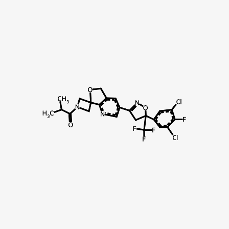 CC(C)C(=O)N1CC2(C1)OCc1cc(C3=NOC(c4cc(Cl)c(F)c(Cl)c4)(C(F)(F)F)C3)cnc12